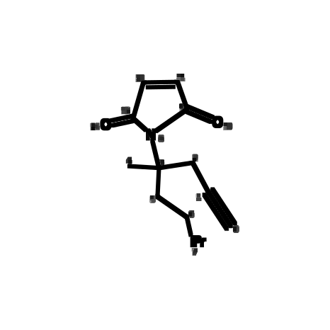 C#CCC(C)(CCC(C)C)N1C(=O)C=CC1=O